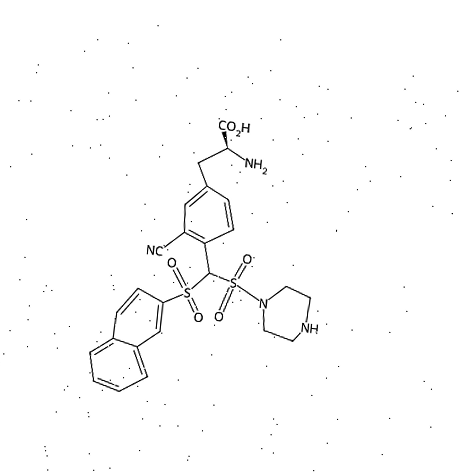 N#Cc1cc(C[C@H](N)C(=O)O)ccc1C(S(=O)(=O)c1ccc2ccccc2c1)S(=O)(=O)N1CCNCC1